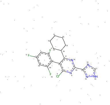 Fc1cc(F)c(-c2c(Cl)nc(-c3nc[nH]n3)nc2C2CCCCC2)c(F)c1